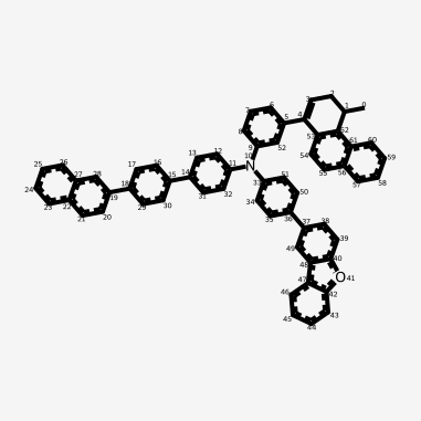 CC1CC=C(c2cccc(N(c3ccc(-c4ccc(-c5ccc6ccccc6c5)cc4)cc3)c3ccc(-c4ccc5oc6ccccc6c5c4)cc3)c2)c2ccc3ccccc3c21